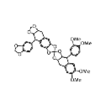 COc1ccc(C2c3cc(OC)c(OC)cc3CC3OC4(Oc5cc6c(cc5O4)C(c4ccc5c(c4)OCO5)C4OCOC4C6)OC32)cc1OC